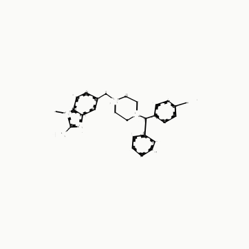 Cn1c(N)nc2cc(CN3CCN(C(c4ccccc4)c4ccc(F)cc4)CC3)ccc21